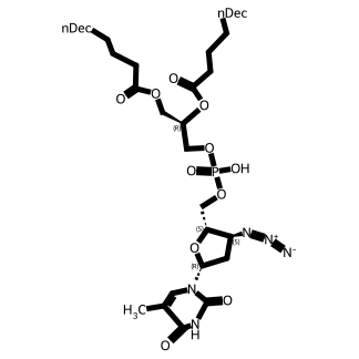 CCCCCCCCCCCCCC(=O)OC[C@H](COP(=O)(O)OC[C@H]1O[C@@H](n2cc(C)c(=O)[nH]c2=O)C[C@@H]1N=[N+]=[N-])OC(=O)CCCCCCCCCCCCC